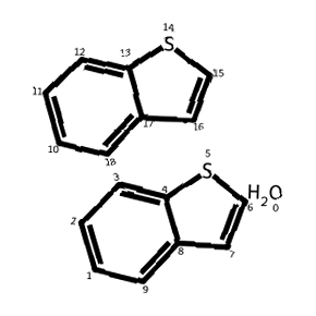 O.c1ccc2sccc2c1.c1ccc2sccc2c1